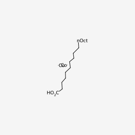 CCCCCCCCCCCCCCCCCC(=O)O.[Co].[Co]